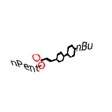 CCCCCOC(=O)C=CC1CCC(C2CCC(CCCC)CC2)CC1